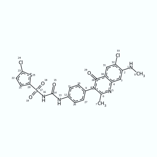 CNc1cc2nc(C)n(-c3ccc(NC(=O)NS(=O)(=O)c4ccc(Cl)s4)cc3)c(=O)c2cc1Cl